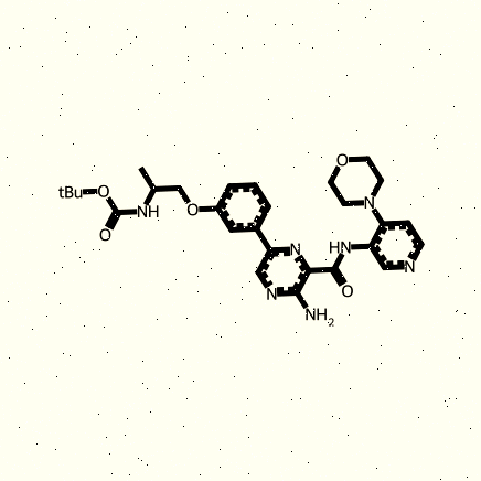 CC(COc1cccc(-c2cnc(N)c(C(=O)Nc3cnccc3N3CCOCC3)n2)c1)NC(=O)OC(C)(C)C